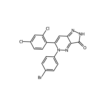 O=c1[nH]nc2cc(-c3ccc(Cl)cc3Cl)n(-c3ccc(Br)cc3)nc1-2